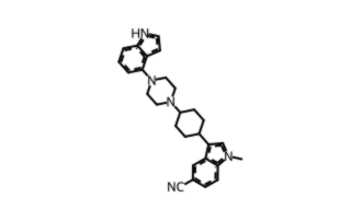 Cn1cc(C2CCC(N3CCN(c4cccc5[nH]ccc45)CC3)CC2)c2cc(C#N)ccc21